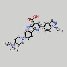 CN(C)C1CCN(c2ccc3c(c2)[nH]c2c(C(=O)O)cc(-c4ccc5c(cnn5C)c4)nc23)CC1